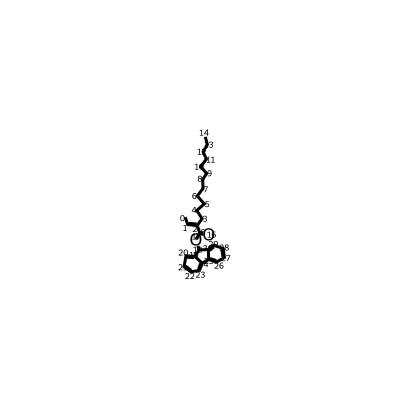 CC=C(CCCCCCCCCCCC)C(=O)OC1c2ccccc2-c2ccccc21